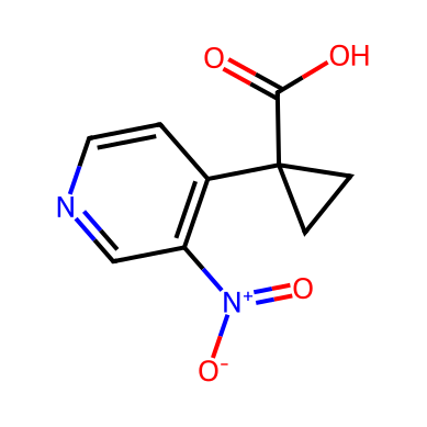 O=C(O)C1(c2ccncc2[N+](=O)[O-])CC1